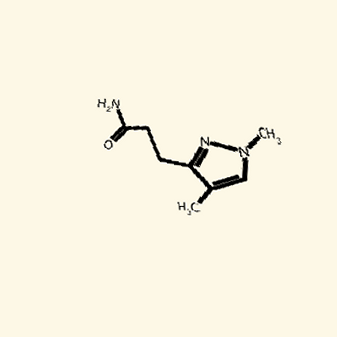 Cc1cn(C)nc1CCC(N)=O